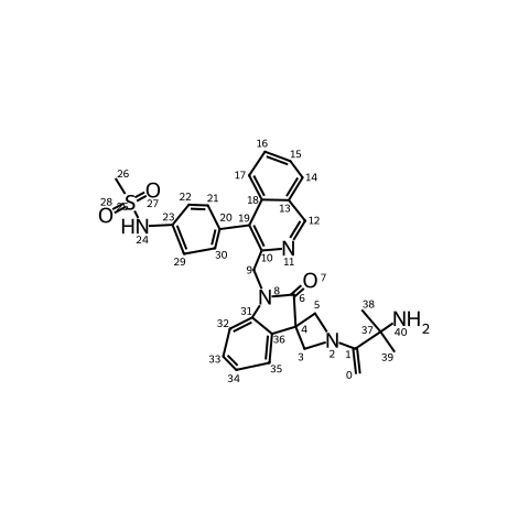 C=C(N1CC2(C1)C(=O)N(Cc1ncc3ccccc3c1-c1ccc(NS(C)(=O)=O)cc1)c1ccccc12)C(C)(C)N